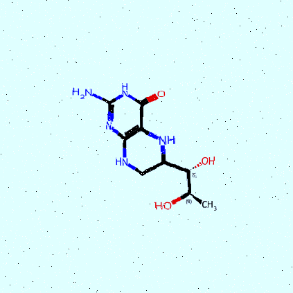 C[C@@H](O)[C@@H](O)C1CNc2nc(N)[nH]c(=O)c2N1